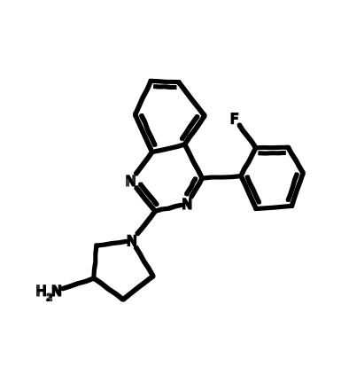 NC1CCN(c2nc(-c3ccccc3F)c3ccccc3n2)C1